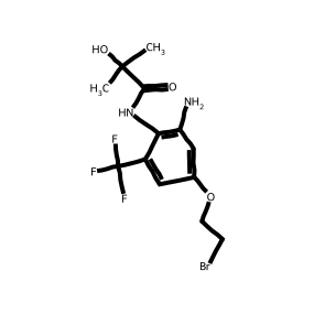 CC(C)(O)C(=O)Nc1c(N)cc(OCCBr)cc1C(F)(F)F